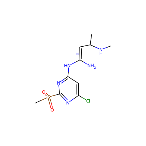 CNC(C)/C=C(\N)Nc1cc(Cl)nc(S(C)(=O)=O)n1